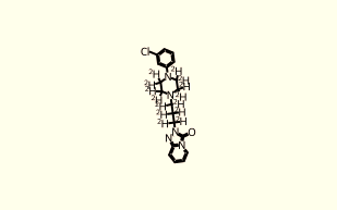 [2H]C1([2H])N(c2cccc(Cl)c2)C([2H])([2H])C([2H])([2H])N(C([2H])([2H])C([2H])([2H])C([2H])([2H])n2nc3ccccn3c2=O)C1([2H])[2H]